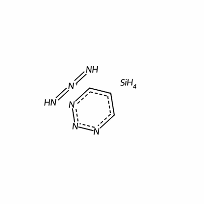 N=[N+]=N.[SiH4].c1cnnnc1